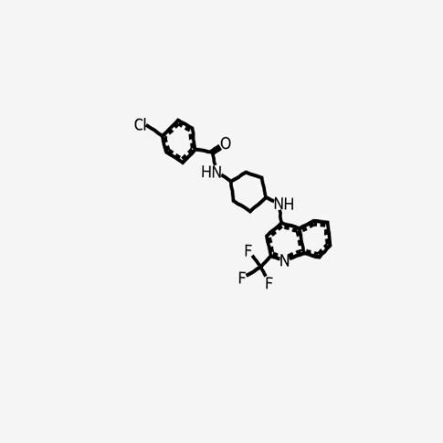 O=C(NC1CCC(Nc2cc(C(F)(F)F)nc3ccccc23)CC1)c1ccc(Cl)cc1